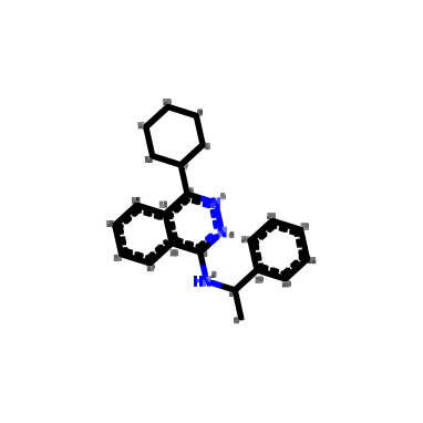 CC(Nc1nnc(C2CCCCC2)c2ccccc12)c1ccccc1